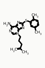 C=C(C)CCCn1cnc(N)c2nc(Sc3cc(C)ccc3C)nc1-2